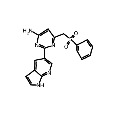 Nc1cc(CS(=O)(=O)c2ccccc2)nc(-c2cnc3[nH]ccc3c2)n1